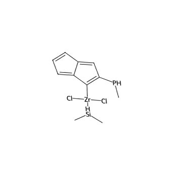 CPC1=[C]([Zr]([Cl])([Cl])[SiH](C)C)C2=CC=CC2=C1